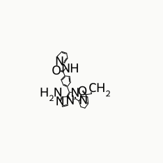 C=CC(=O)N1C2CCC1(c1nc(-c3ccc(C(=O)Nc4ccccn4)cc3)c3c(N)nccn13)CC2